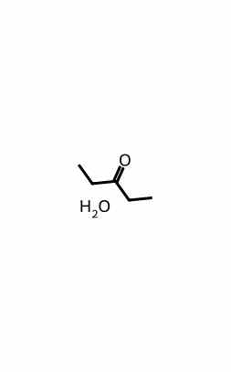 CCC(=O)CC.O